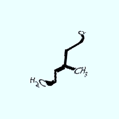 C=C/C=C(\C)CC[O]